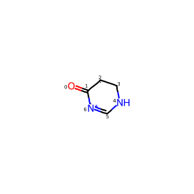 O=C1[CH]CNC=[N+]1